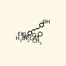 C=C(C)C(=O)OC1CCCCC1.CCOC(C)Oc1ccc(C=CC=Cc2ccc(O)cc2)cc1